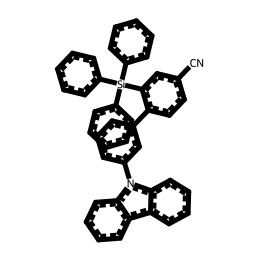 N#Cc1ccc(-c2cccc(-n3c4ccccc4c4ccccc43)c2)c([Si](c2ccccc2)(c2ccccc2)c2ccccc2)c1